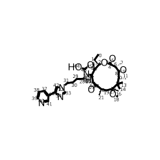 CC[C@H]1OC(=O)[C@H](C)C(=O)[C@H](C)C(C)(C)[C@](C)(OC)C[C@@H](C)C(=O)[C@H](C)[C@H]2N(CCCCn3cnc(-c4cccnc4)c3)C(O)O[C@]12C